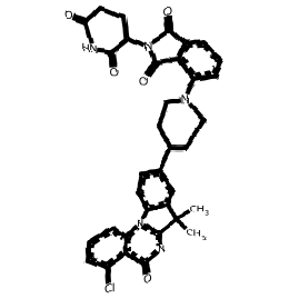 CC1(C)c2cc(C3CCN(c4cccc5c4C(=O)N(C4CCC(=O)NC4=O)C5=O)CC3)ccc2-n2c1nc(=O)c1c(Cl)cccc12